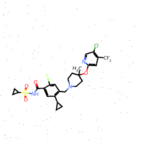 CC1(Oc2cc(C(F)(F)F)c(Cl)cn2)CCN(Cc2cc(F)c(C(=O)NS(=O)(=O)C3CC3)cc2C2CC2)CC1